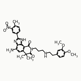 COc1ccc(CCNCCCN2C(=O)c3c(cc(N)c4nc(-c5ccc(C)c([N+](=O)[O-])c5)[nH]c34)C(C)(C)C2=O)cc1OC